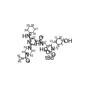 CC(C)(C)OC(=O)N1Cc2cc(O)ccc2C[C@H]1[C@H](O)CNC(=O)c1cc(NC2CCCCC2)nc(N2CCN(C(=O)C3CC3)CC2)c1